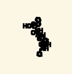 C[C@H](NC(=O)Cc1csc(NC(=O)NCc2ccccc2)n1)C(=O)NC(CC(=O)O)c1ccc2ccccc2c1